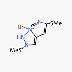 CSC1=CC2=CN(SC)N[N+]2(Br)C=N1